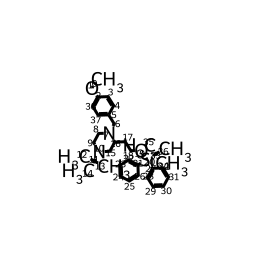 COc1ccc(CN2CCN(C(C)(C)C)CC2CCO[Si](c2ccccc2)(c2ccccc2)C(C)(C)C)cc1